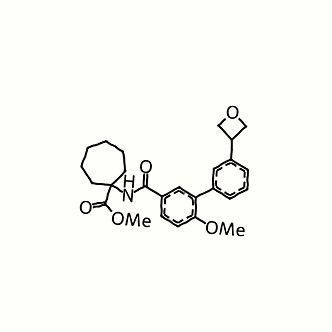 COC(=O)C1(NC(=O)c2ccc(OC)c(-c3cccc(C4COC4)c3)c2)CCCCCC1